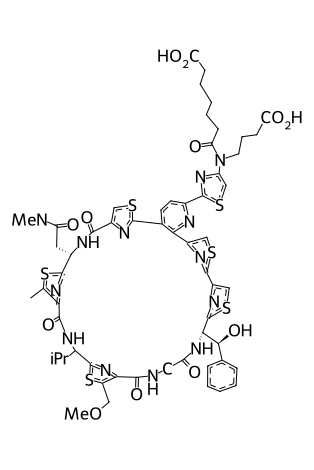 CNC(=O)C[C@@H]1NC(=O)c2csc(n2)-c2ccc(-c3nc(N(CCCC(=O)O)C(=O)CCCCCC(=O)O)cs3)nc2-c2csc(n2)-c2csc(n2)[C@H]([C@@H](O)c2ccccc2)NC(=O)CNC(=O)c2nc(sc2COC)C(C(C)C)NC(=O)c2nc1sc2C